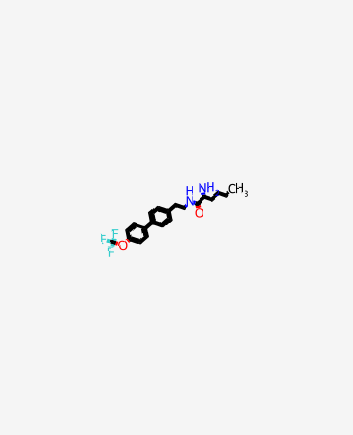 CCCCC(N)C(=O)NCCc1ccc(-c2ccc(OC(F)(F)F)cc2)cc1